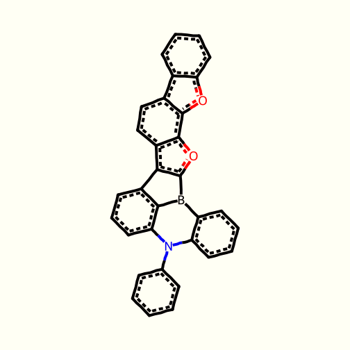 c1ccc(N2c3ccccc3B3c4oc5c(ccc6c7ccccc7oc65)c4-c4cccc2c43)cc1